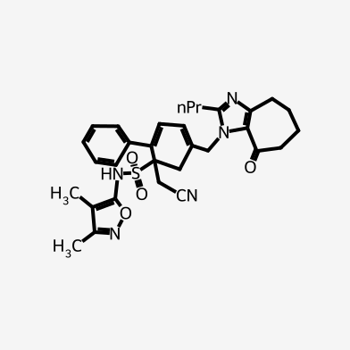 CCCc1nc2c(n1CC1=CC=C(c3ccccc3)C(CC#N)(S(=O)(=O)Nc3onc(C)c3C)C1)C(=O)CCCC2